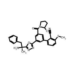 CSc1cccc(-c2cc(C(=O)N3CCCC3C)cc(-c3nnc([C@](C)(N)Cc4ccccc4)o3)c2)c1C#N